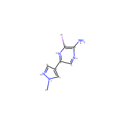 Cn1cc(-c2cnc(N)c(I)n2)cn1